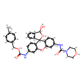 O=C(Nc1ccc2c(c1)Oc1cc(NC(=O)N3CCOCC3)ccc1C21OC(O)c2ccccc21)OCc1ccc([N+](=O)[O-])cc1